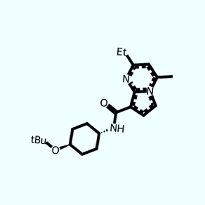 CCc1cc(C)n2ccc(C(=O)N[C@H]3CC[C@H](OC(C)(C)C)CC3)c2n1